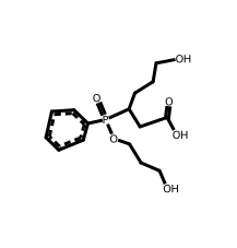 O=C(O)CC(CCCO)P(=O)(OCCCO)c1ccccc1